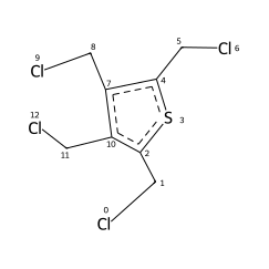 ClCc1sc(CCl)c(CCl)c1CCl